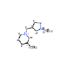 CC(C)(C)C1CCCN(CC2CCN(C(C)(C)C)C2)C1